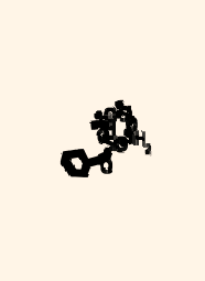 C[Si]1(C)O[SiH2]O[SiH](C2OC2C2CCCCC2)O[Si](C)(C)O1